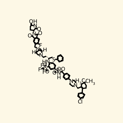 CC1(C)CCC(c2ccc(Cl)cc2)=C(CN2CCN(c3ccc(C(=O)NS(=O)(=O)c4ccc(N[C@H](CCN5C[C@@H]6C[C@H]5CN6Cc5cc6c(cc5F)C(=O)N(C5CCC(=O)NC5=O)C6=O)CSc5ccccc5)c(S(=O)(=O)C(F)(F)F)c4)cc3)CC2)C1